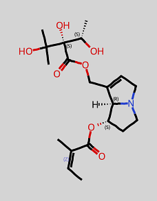 C/C=C(/C)C(=O)O[C@H]1CCN2CC=C(COC(=O)[C@](O)([C@H](C)O)C(C)(C)O)[C@H]12